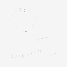 CCOC(=O)N1OCCC1c1ccccc1